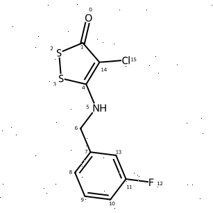 O=c1ssc(NCc2cccc(F)c2)c1Cl